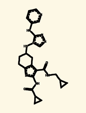 O=C(NCC1CC1)c1c(NC(=O)C2CC2)sc2c1CC(Nn1cnnc1Nc1cccnc1)CC2